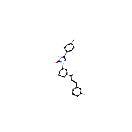 Cc1ccc(-c2cn(-c3cccc(C(=O)/C=C/c4cccc(O)c4)c3)c(=O)[nH]2)cc1